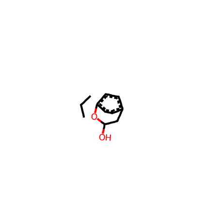 CCC.OC1Cc2ccc(cc2)O1